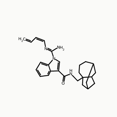 C=C/C=C\N=C(/N)n1cc(C(=O)NCC23CCCC4CC(CC2C4)C3)c2ccccc21